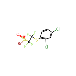 O=S(=O)(Br)C(F)(F)C(F)(F)Sc1ccc(Cl)cc1Cl